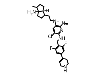 C=Nc1nc(NCc2c(F)cc(C3=CCNCC3)cc2F)c(Cl)cc1NCCC1CC[C@]2(N)C(C)CC[C@H]12